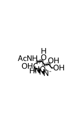 CC(=O)N[C@@H](C=O)[C@@H](O)[C@H](O)[C@H](O)CO.[N-]=[N+]=N